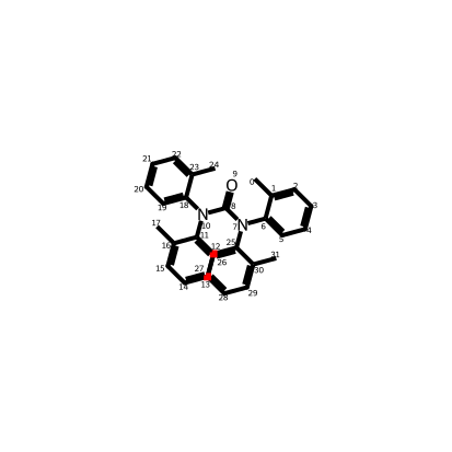 Cc1ccccc1N(C(=O)N(c1ccccc1C)c1ccccc1C)c1ccccc1C